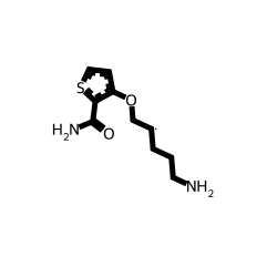 NCCC[CH]COc1ccsc1C(N)=O